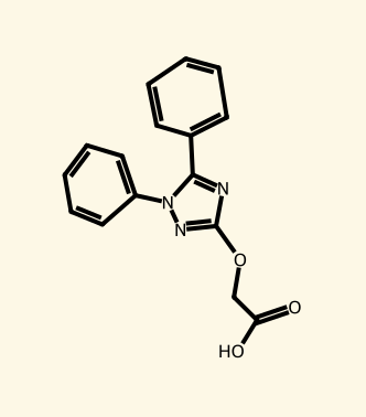 O=C(O)COc1nc(-c2ccccc2)n(-c2ccccc2)n1